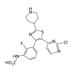 O=C(O)Nc1cccc(-c2nc(C3CCNCC3)sc2-c2ccnc(Cl)n2)c1F